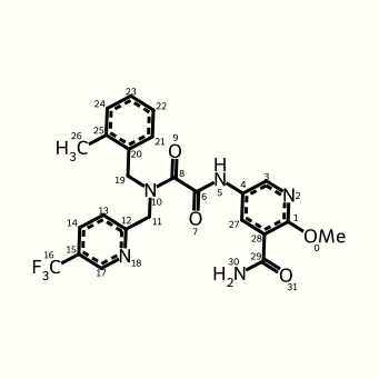 COc1ncc(NC(=O)C(=O)N(Cc2ccc(C(F)(F)F)cn2)Cc2ccccc2C)cc1C(N)=O